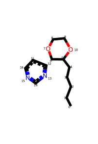 CCCCCC1COCCO1.c1cncnc1